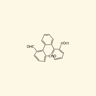 CCCCCCCCc1ccccc1-c1ccccc1-c1c(C=O)cccc1C=O